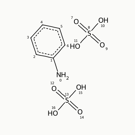 Nc1ccccc1.O=S(=O)(O)O.O=S(=O)(O)O